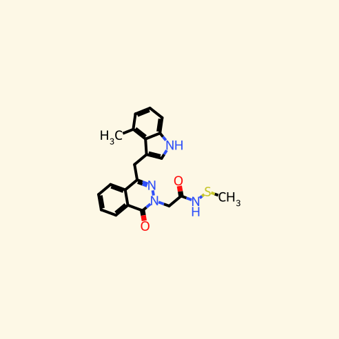 CSNC(=O)Cn1nc(Cc2c[nH]c3cccc(C)c23)c2ccccc2c1=O